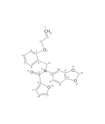 C=CCOc1ccccc1CN(C(=O)c1ccco1)c1ccc2c(c1)OCO2